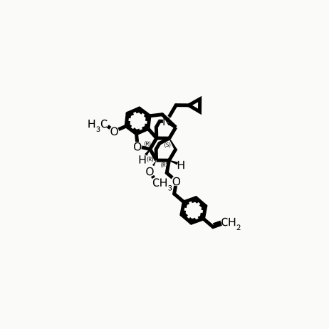 C=Cc1ccc(COC[C@H]2C[C@@]34CC[C@]2(OC)[C@@H]2Oc5c(OC)ccc6c5C23CCN(CC2CC2)C4C6)cc1